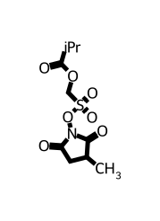 CC(C)C(=O)OCS(=O)(=O)ON1C(=O)CC(C)C1=O